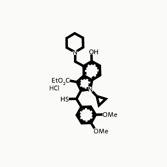 CCOC(=O)c1c(C(S)c2ccc(OC)c(OC)c2)n(C2CC2)c2ccc(O)c(CN3CCCCC3)c12.Cl